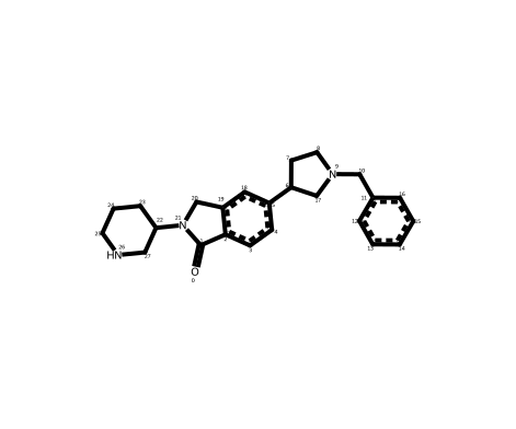 O=C1c2ccc(C3CCN(Cc4ccccc4)C3)cc2CN1C1CCCNC1